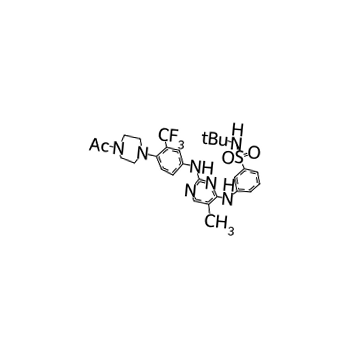 CC(=O)N1CCN(c2ccc(Nc3ncc(C)c(Nc4cccc(S(=O)(=O)NC(C)(C)C)c4)n3)cc2C(F)(F)F)CC1